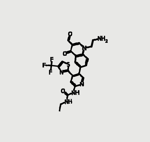 CCNC(=O)Nc1cc(-c2nc(C(F)(F)F)cs2)c(-c2ccc3c(c2)c(=O)c(C=O)cn3CCN)cn1